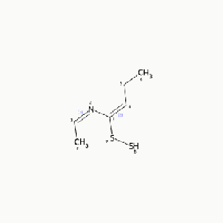 C/C=N\C(=C/CC)SS